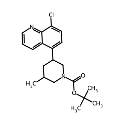 CC1CC(c2ccc(Cl)c3ncccc23)CN(C(=O)OC(C)(C)C)C1